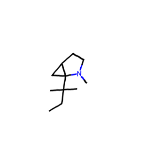 CCC(C)(C)C12CC1CCN2C